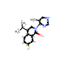 Cc1cncnc1-n1cc(C(C)C)c2ccc(F)cc2c1=O